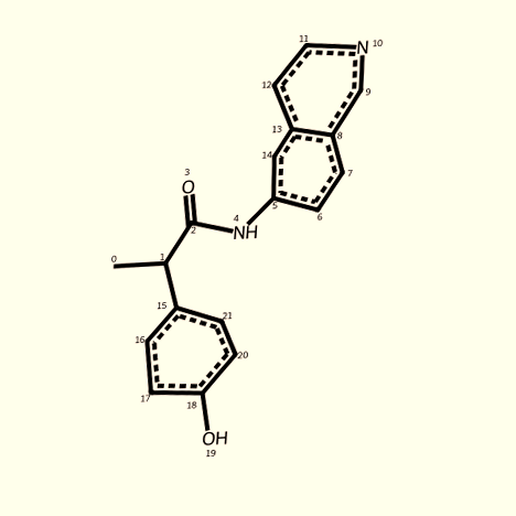 CC(C(=O)Nc1ccc2cnccc2c1)c1ccc(O)cc1